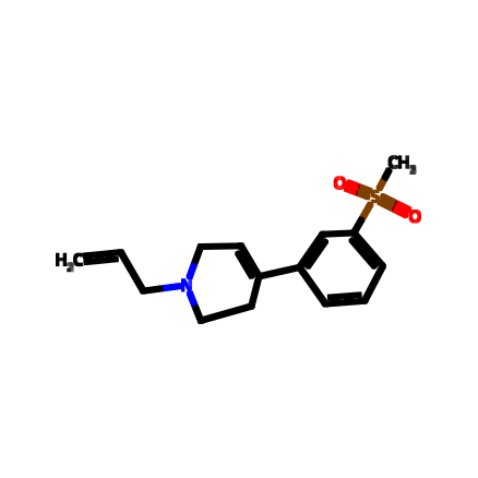 C=CCN1CC=C(c2cccc(S(C)(=O)=O)c2)CC1